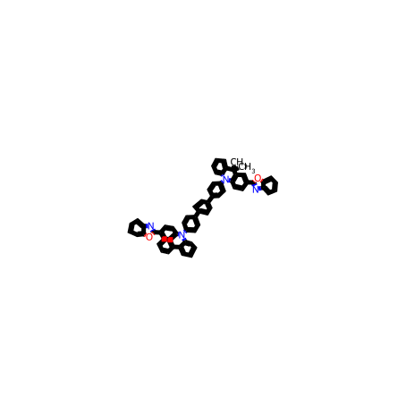 CC1(C)c2ccccc2N(c2ccc(-c3ccc(-c4ccc(N(c5ccc(-c6nc7ccccc7o6)cc5)c5ccccc5-c5ccccc5)cc4)cc3)cc2)c2ccc(-c3nc4ccccc4o3)cc21